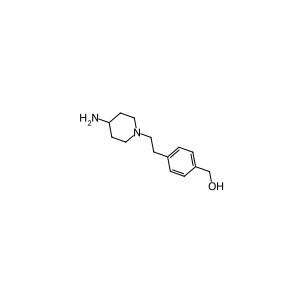 NC1CCN(CCc2ccc(CO)cc2)CC1